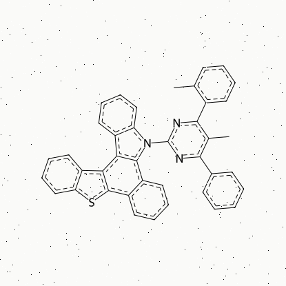 Cc1ccccc1-c1nc(-n2c3ccccc3c3c4c5ccccc5sc4c4ccccc4c32)nc(-c2ccccc2)c1C